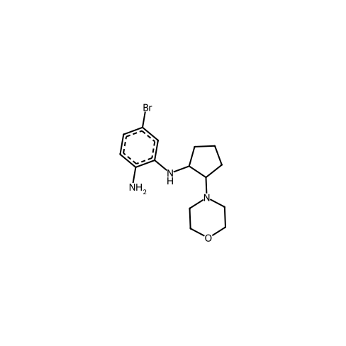 Nc1ccc(Br)cc1NC1CCCC1N1CCOCC1